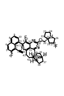 C#Cc1c(F)ccc2cccc(-c3nc4c5c(nc(OC[C@@]67CCCN6C[C@H](F)C7)nc5c3F)N3C[C@H]5CC[C@H](N5)[C@H]3CC4)c12